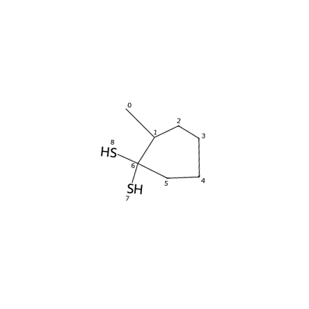 CC1CCCCC1(S)S